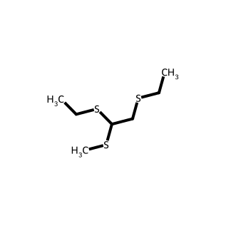 CCSCC(SC)SCC